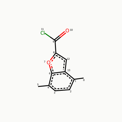 Cc1ccc(C)c2oc(C(=O)Cl)cc12